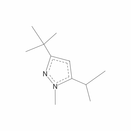 CC(C)c1cc(C(C)(C)C)nn1C